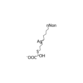 CCCCCCCCCCCCCCCCCCSC(O)C(=O)[O-].[Ag+]